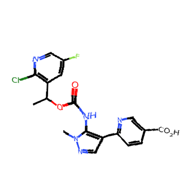 CC(OC(=O)Nc1c(-c2ccc(C(=O)O)cn2)cnn1C)c1cc(F)cnc1Cl